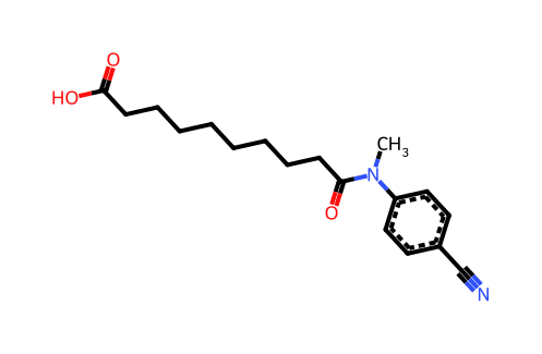 CN(C(=O)CCCCCCCCC(=O)O)c1ccc(C#N)cc1